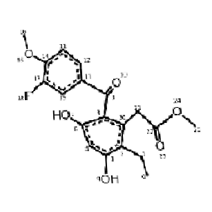 CCc1c(O)cc(O)c(C(=O)c2ccc(OC)c(F)c2)c1CC(=O)OC